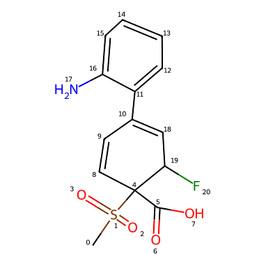 CS(=O)(=O)C1(C(=O)O)C=CC(c2ccccc2N)=CC1F